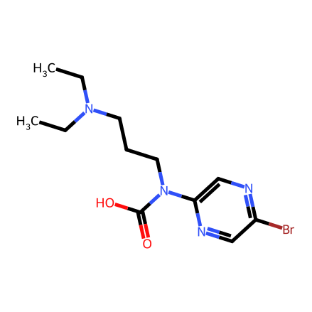 CCN(CC)CCCN(C(=O)O)c1cnc(Br)cn1